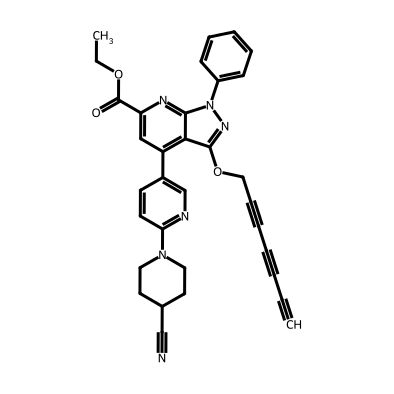 C#CC#CC#CCOc1nn(-c2ccccc2)c2nc(C(=O)OCC)cc(-c3ccc(N4CCC(C#N)CC4)nc3)c12